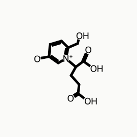 O=C(O)CCC(C(=O)O)[n+]1cc([O-])ccc1CO